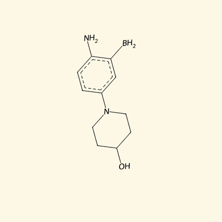 Bc1cc(N2CCC(O)CC2)ccc1N